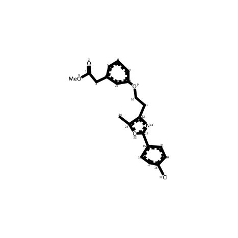 COC(=O)Cc1cccc(OCCc2nc(-c3ccc(Cl)cc3)oc2C)c1